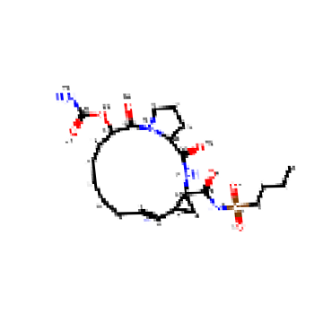 CCCCS(=O)(=O)NC(=O)C12CC1/C=C/CCCCCC(OC(N)=O)C(=O)N1CCCC1C(=O)N2